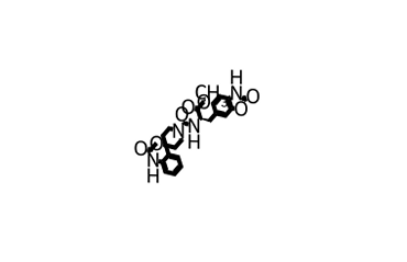 COC(=O)[C@@H](Cc1ccc2[nH]c(=O)oc2c1)NC(=O)N1CCC2(CC1)OC(=O)Nc1ccccc12